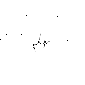 CC(C)=O.CSSC